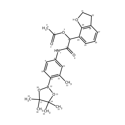 CC(=O)OC(C(=O)Nc1ccc(B2OC(C)(C)C(C)(C)O2)c(C)c1)c1cccc2c1OCC2